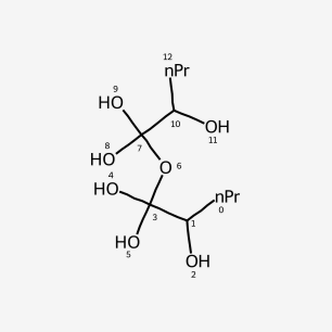 CCCC(O)C(O)(O)OC(O)(O)C(O)CCC